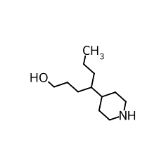 CCCC(CCCO)C1CCNCC1